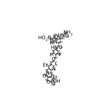 CCc1c2c(nc3ccc(OCc4c(F)cc(NC(=O)[C@H](CCCNC(N)=O)NC(=O)[C@@H](NC(=O)O)C(C)C)cc4F)cc13)-c1cc3c(c(=O)n1C2)COC(=O)[C@]3(O)CC